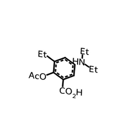 CCNCC.CCc1cccc(C(=O)O)c1OC(C)=O